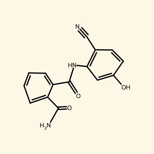 N#Cc1ccc(O)cc1NC(=O)c1ccccc1C(N)=O